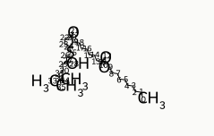 CCCCCCCCCCOC(=O)CCCCCCC1C(=O)CCC1SCC(O)CCCC(C)(C)C